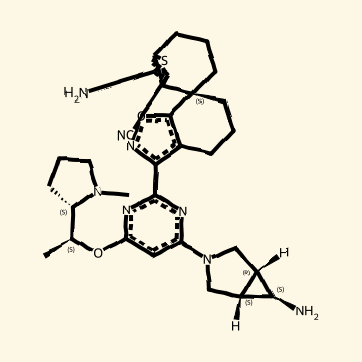 C[C@H](Oc1cc(N2C[C@@H]3[C@@H](N)[C@@H]3C2)nc(-c2noc3c2CCC[C@@]32CCCc3sc(N)c(C#N)c32)n1)[C@@H]1CCCN1C